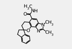 CNC(=O)c1cc2c(nc(C)n2C)c2c1CCC1(CCc3ccccc31)O2